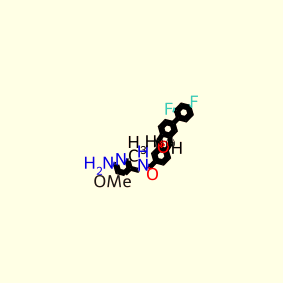 COc1cc(N)nc(C)c1CNC(=O)c1ccc2c(c1)[C@@H]1O[C@H]2c2cc(-c3ccc(F)cc3F)ccc21